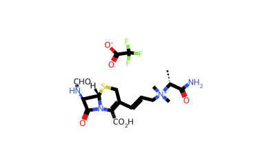 C[C@H](C(N)=O)[N+](C)(C)C/C=C/C1=C(C(=O)O)N2C(=O)[C@@H](NC=O)[C@@H]2SC1.O=C([O-])C(F)(F)F